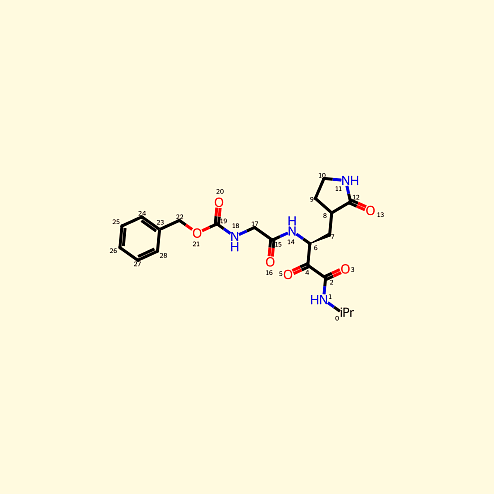 CC(C)NC(=O)C(=O)[C@H](CC1CCNC1=O)NC(=O)CNC(=O)OCc1ccccc1